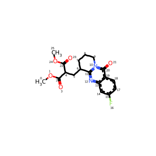 COC(=O)C(CC1CCCn2c1nc1cc(F)ccc1c2=O)C(=O)OC